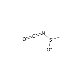 C[S+]([O-])N=C=O